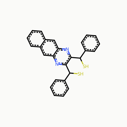 SC(c1ccccc1)c1nc2cc3ccccc3cc2nc1C(S)c1ccccc1